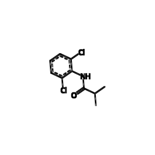 CC(C)C(=O)Nc1c(Cl)cccc1Cl